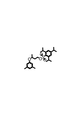 Cc1cc(C)cc(OC(C)CCOS(=O)(=O)c2c(C(C)C)cc(C(C)C)cc2C(C)C)c1